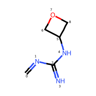 C=NC(=N)NC1COC1